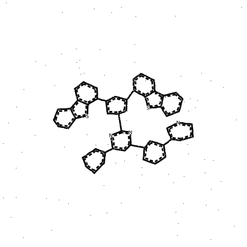 c1ccc(-c2cc(-c3cccc(-c4cccnc4)c3)nc(-c3cc(-c4cccc5c4sc4ccccc45)cc(-c4cccc5c4sc4ccccc45)c3)n2)cc1